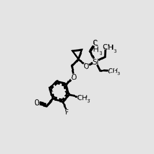 CC[Si](CC)(CC)OC1(COc2ccc(C=O)c(F)c2C)CC1